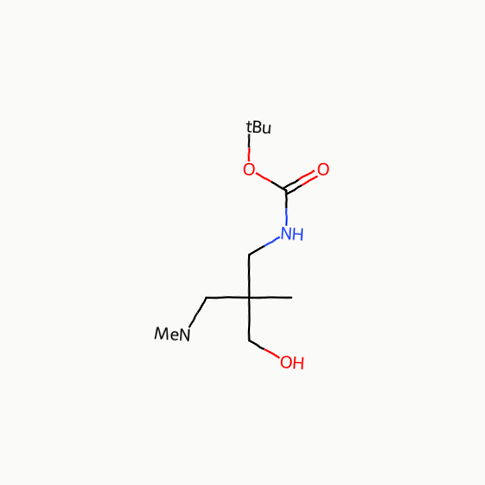 CNCC(C)(CO)CNC(=O)OC(C)(C)C